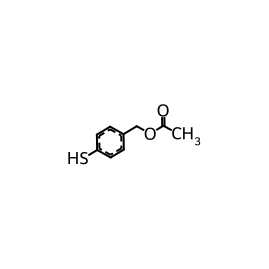 CC(=O)OCc1ccc(S)cc1